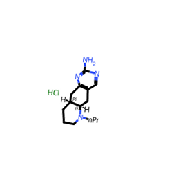 CCCN1CCC[C@@H]2Cc3nc(N)ncc3C[C@H]21.Cl